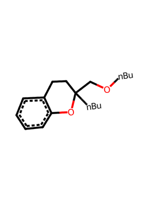 CCCCOCC1(CCCC)CCc2ccccc2O1